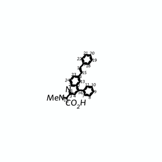 CNC(C(=O)O)c1cc(-c2ccccc2)c2cc(/C=C/c3ccccc3)ccc2n1